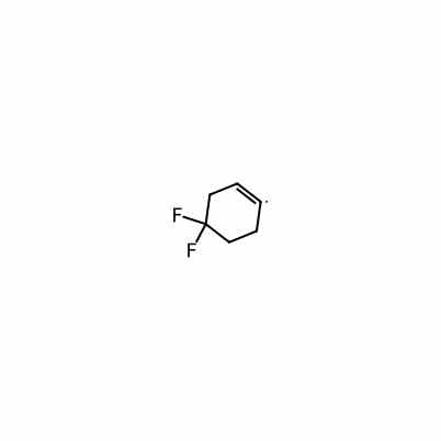 FC1(F)CC=[C]CC1